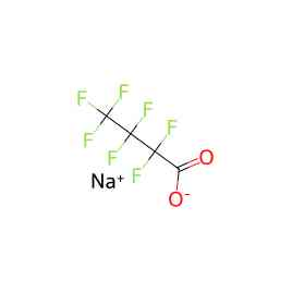 O=C([O-])C(F)(F)C(F)(F)C(F)(F)F.[Na+]